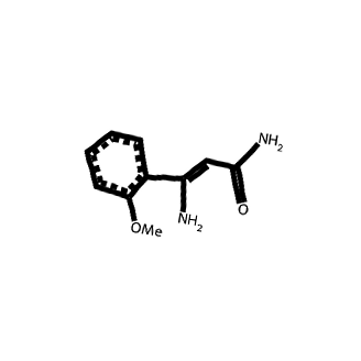 COc1ccccc1/C(N)=C/C(N)=O